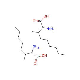 CCCCCC(C)C(N)C(=O)O.CCCCCCC(C)C(N)C(=O)O